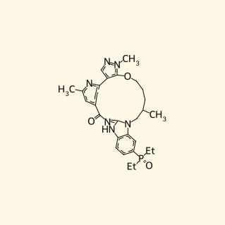 CCP(=O)(CC)c1ccc2c(c1)N1CC(C)CCCOc3c(cnn3C)-c3cc(cc(C)n3)C(=O)/N=C/1N2